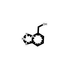 OCc1cccc2nnnn12